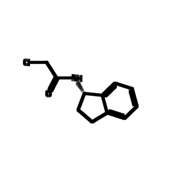 O=C(CCl)N[C@H]1CCc2ccccc21